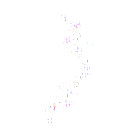 CN(C)CCCNS(=O)(=O)c1ccc2c3c(cc([N+](=O)[O-])c2c1)N(C(=O)c1cc2cc(NC(=O)Nc4ccc5oc(C(=O)N6CC(CCl)c7c6cc([N+](=O)[O-])c6cc(S(=O)(=O)NCCCN(C)C)ccc76)cc5c4)ccc2o1)CC3CCl